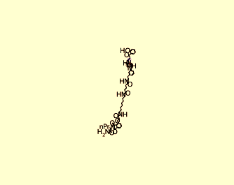 CCCC(C(N)=O)N1C(=O)c2cccc(OCC(=O)NCCCCCCCCNC(=O)CCCC(=O)NCCc3cccc(N4C[C@H]5C[C@@H]4CN5/C=C/C(=O)c4ccccc4O)c3)c2C1=O